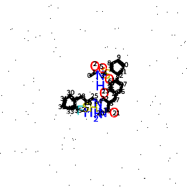 CC(=O)NS(=O)(=O)c1ccccc1-c1ccc(CC(C(N)=O)C(=O)NC[C@@H](S)Cc2ccccc2F)cc1